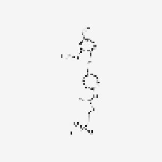 COc1cc(C=O)ccc1C=Cc1ccc(NC(=O)OCC[Si](C)(C)C)cc1